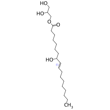 CCCCCCCC/C=C/C(O)CCCCCCC(=O)OCC(O)CO